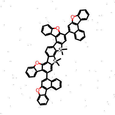 C[Si]1(C)c2cc(-c3cc4oc5ccccc5c4c4ccccc34)c3c(oc4ccccc43)c2-c2ccc3c(c21)[Si](C)(C)c1cc(-c2cc4oc5ccccc5c4c4ccccc24)c2oc4ccccc4c2c1-3